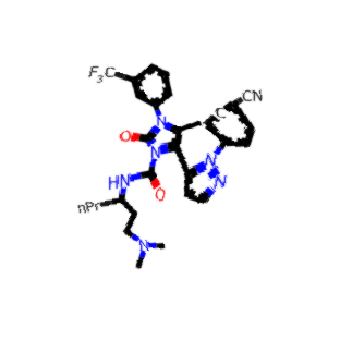 CCCC(CCN(C)C)NC(=O)n1c(-c2ccnn2-c2ccc(C#N)cc2)c(C)n(-c2cccc(C(F)(F)F)c2)c1=O